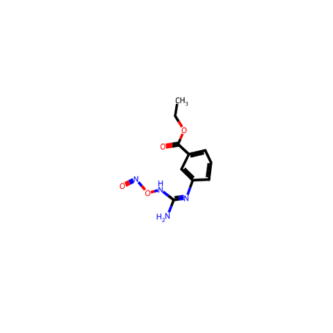 CCOC(=O)c1cccc(N=C(N)NON=O)c1